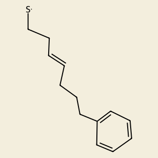 [S]CCC=CCCCc1ccccc1